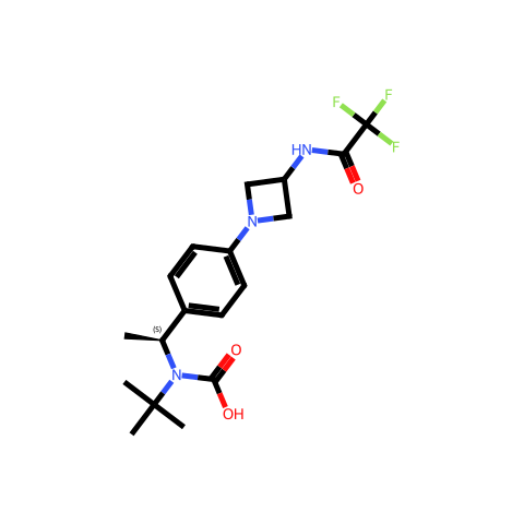 C[C@@H](c1ccc(N2CC(NC(=O)C(F)(F)F)C2)cc1)N(C(=O)O)C(C)(C)C